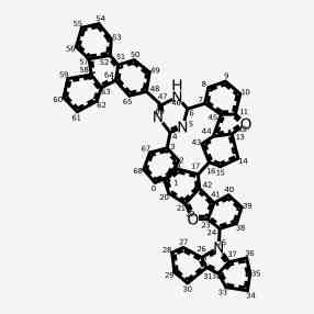 c1ccc(C2=NC(c3cccc4oc5ccc(-c6cccc7oc8c(-n9c%10ccccc%10c%10ccccc%109)cccc8c67)cc5c34)NC(c3ccc4c5ccccc5c5ccccc5c4c3)=N2)cc1